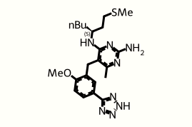 CCCC[C@@H](CCSC)Nc1nc(N)nc(C)c1Cc1cc(-c2nn[nH]n2)ccc1OC